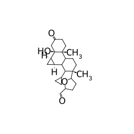 C[C@]1(C2CCC(C=O)O2)CCC2C(C1C1CC1)[C@H]1C[C@H]1[C@]1(O)CC(=O)CC[C@]21C